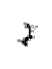 CC(C)(C)OC(=O)NC(CCNCCCc1cc(Cl)ccc1Oc1cc(F)c(S(=O)(=O)N(C(=O)OC(C)(C)C)c2cscn2)cc1Cl)C(=O)O